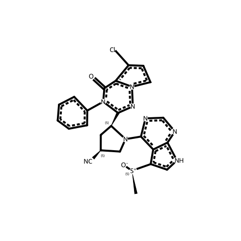 C[S@@+]([O-])c1c[nH]c2ncnc(N3C[C@@H](C#N)C[C@H]3c3nn4ccc(Cl)c4c(=O)n3-c3ccccc3)c12